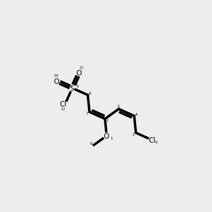 COC(/C=C\CCl)=C/CS(=O)(=O)Cl